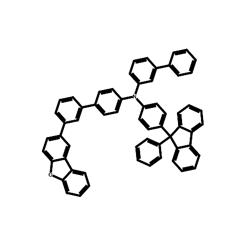 c1ccc(-c2cccc(N(c3ccc(-c4cccc(-c5ccc6oc7ccccc7c6c5)c4)cc3)c3ccc(C4(c5ccccc5)c5ccccc5-c5ccccc54)cc3)c2)cc1